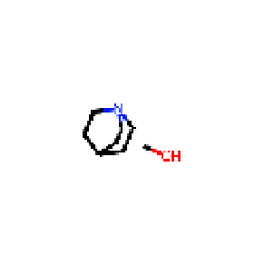 C1CN2CCC1CC2.CO